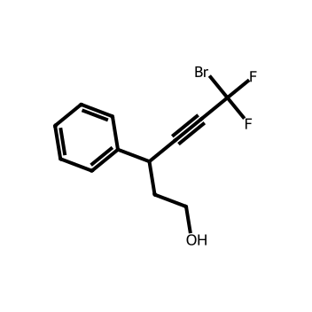 OCCC(C#CC(F)(F)Br)c1ccccc1